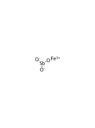 [Fe+3].[O-][Sb]([O-])[O-]